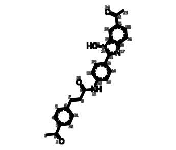 CC(=O)c1ccc(/C=C/C(=O)Nc2ccc(-c3nc4ccc(C(C)=O)cc4n3O)cc2)cc1